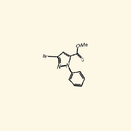 COC(=O)c1cc(Br)nn1-c1ccccc1